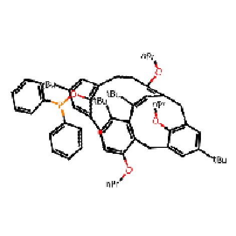 CCCO/C1=C2/C=C(/C(C)(C)C)c3c(C(C)(C)C)cc(c(OCCC)c3Cc3cc(C(C)(C)C)cc(c3OCCC)C2)Cc2cc(C(C)(C)C)cc(c2OP(c2ccccc2)c2ccccc2)CC1